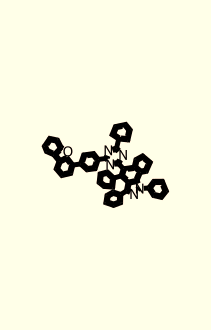 c1ccc(-c2nc(-c3ccc(-c4cccc5c4oc4ccccc45)cc3)nc(-c3c(-c4ccccc4)c4c(-c5ccccc5)nn(-c5ccccc5)c4c4ccccc34)n2)cc1